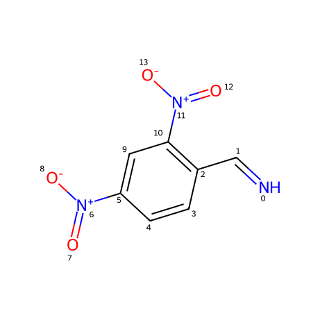 N=Cc1ccc([N+](=O)[O-])cc1[N+](=O)[O-]